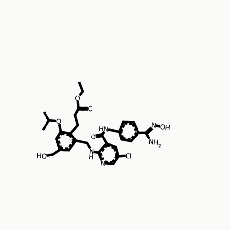 CCOC(=O)CCc1c(CNc2ncc(Cl)cc2C(=O)Nc2ccc(/C(N)=N/O)cc2)cc(CO)cc1OC(C)C